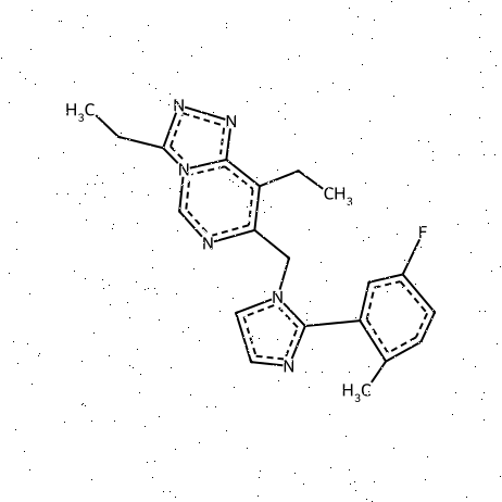 CCc1c(Cn2ccnc2-c2cc(F)ccc2C)ncn2c(CC)nnc12